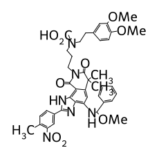 COc1ccc(CCN(CCCN2C(=O)c3c(cc(NC(OC)c4ccccc4)c4nc(-c5ccc(C)c([N+](=O)[O-])c5)[nH]c34)C(C)(C)C2=O)C(=O)O)cc1OC